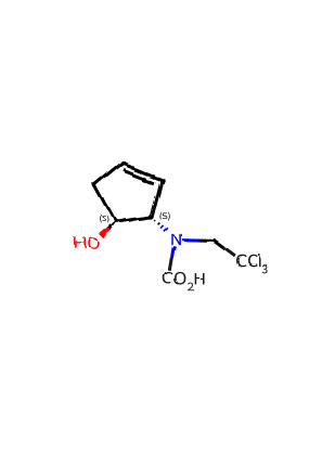 O=C(O)N(CC(Cl)(Cl)Cl)[C@H]1C=CC[C@@H]1O